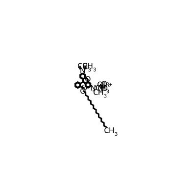 CCCCCCCCCCCCCCCCCCOC(=O)c1ccccc1-c1c2ccc(=[N+](CC)CC)cc-2oc2cc(N(CC)CC)ccc12.[O-][Cl+3]([O-])([O-])[O-]